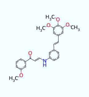 COc1cccc(C(=O)C=CNc2cccc(C=Cc3cc(OC)c(OC)c(OC)c3)c2)c1